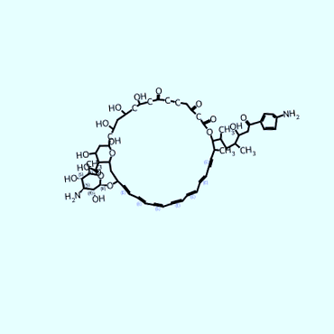 CC1/C=C/C=C/C=C/C=C/C=C/C=C/C=C/C(O[C@@H]2O[C@H](C)[C@@H](O)[C@H](N)[C@H]2O)CC2OC(O)(CC(O)CC(O)CC(O)CC(=O)CCCC(=O)CC(=O)OC1C(C)CC(C)C(O)CC(=O)c1ccc(N)cc1)CC(O)C2C(=O)O